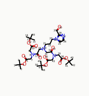 CC(C)(C)OC(=O)CN(CC(=O)OC(C)(C)C)C(=O)CN(CCCn1ccnc1C=O)CC(=O)N(CC(=O)OC(C)(C)C)CC(=O)OC(C)(C)C